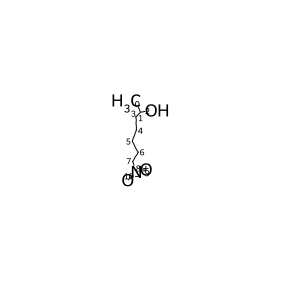 CC(O)CCCCC[N+](=O)[O-]